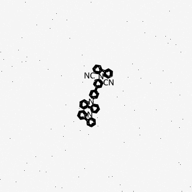 N#Cc1cc(-c2ccc(-n3c4ccccc4c4c(-n5c6ccccc6c6ccccc65)cccc43)cc2)ccc1-n1c2ccccc2c2cccc(C#N)c21